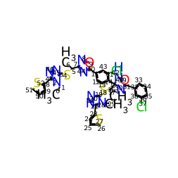 CCn1c(SC(C)c2noc(-c3ccc(C4(C(C)Sc5nnc(-c6cccs6)n5C)N=C(c5cccc(Cl)c5)ON4)c(Cl)c3)n2)nnc1-c1cccs1